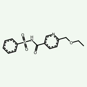 CCOCc1ccc(C(=O)NS(=O)(=O)c2ccccc2)cn1